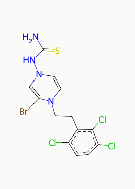 NC(=S)NN1C=CN(CCc2c(Cl)ccc(Cl)c2Cl)C(Br)=C1